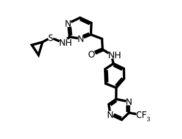 O=C(Cc1ccnc(NSC2CC2)n1)Nc1ccc(-c2cncc(C(F)(F)F)n2)cc1